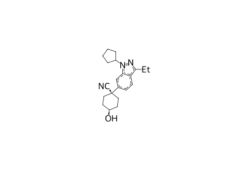 CCc1nn(C2CCCC2)c2cc([C@]3(C#N)CC[C@@H](O)CC3)ccc12